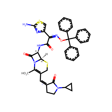 Nc1nc(/C(=N/OC(c2ccccc2)(c2ccccc2)c2ccccc2)C(=O)N[C@@H]2C(=O)N3C(C(=O)O)=C(/C=C4/CCN(C5CC5)C4=O)CS[C@H]23)cs1